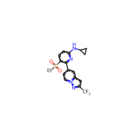 CCS(=O)(=O)c1ccc(NC2CC2)nc1-c1ccn2nc(C(F)(F)F)cc2c1